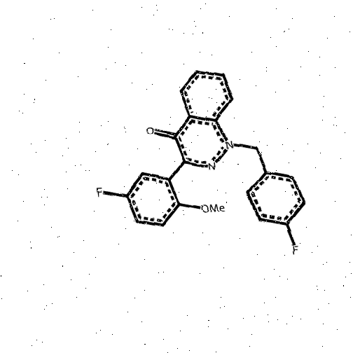 COc1ccc(F)cc1-c1nn(Cc2ccc(F)cc2)c2ccccc2c1=O